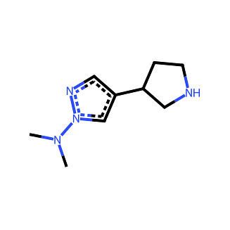 CN(C)n1cc(C2CCNC2)cn1